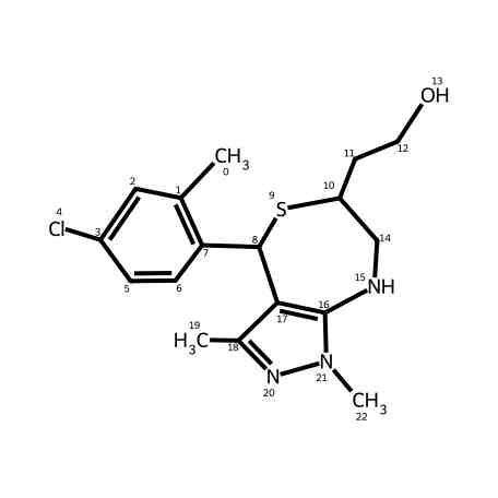 Cc1cc(Cl)ccc1C1SC(CCO)CNc2c1c(C)nn2C